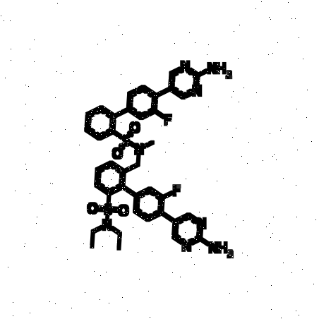 CCN(CC)S(=O)(=O)c1cccc(CN(C)S(=O)(=O)c2ccccc2-c2ccc(-c3cnc(N)nc3)c(F)c2)c1-c1ccc(-c2cnc(N)nc2)c(F)c1